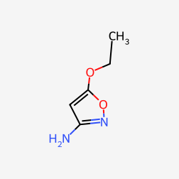 CCOc1cc(N)no1